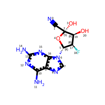 N#C[C@]1(O)O[C@@H](n2cnc3c(N)nc(N)nc32)[C@H](F)[C@@H]1O